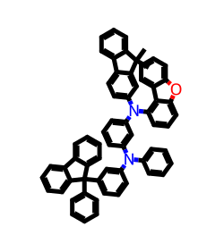 CC1(C)c2ccccc2-c2ccc(N(c3cccc(N(c4ccccc4)c4cccc(C5(c6ccccc6)c6ccccc6-c6ccccc65)c4)c3)c3cccc4oc5ccccc5c34)cc21